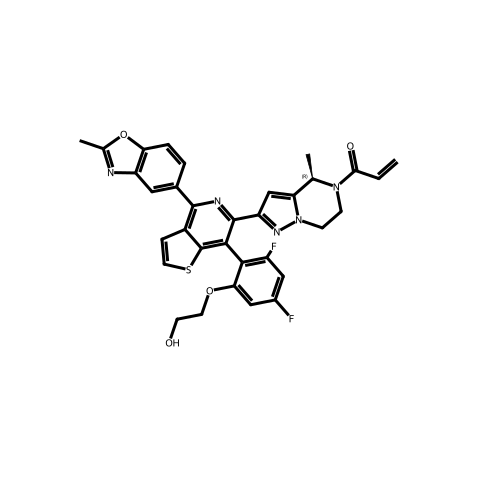 C=CC(=O)N1CCn2nc(-c3nc(-c4ccc5oc(C)nc5c4)c4ccsc4c3-c3c(F)cc(F)cc3OCCO)cc2[C@H]1C